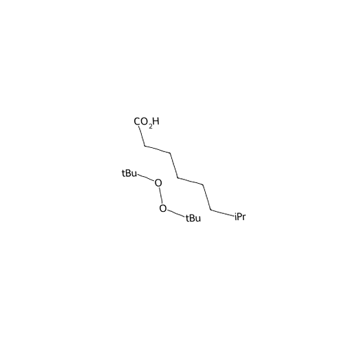 CC(C)(C)OOC(C)(C)C.CC(C)CCCCCC(=O)O